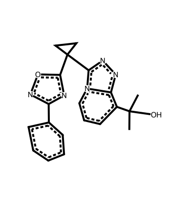 CC(C)(O)c1cccn2c(C3(c4nc(-c5ccccc5)no4)CC3)nnc12